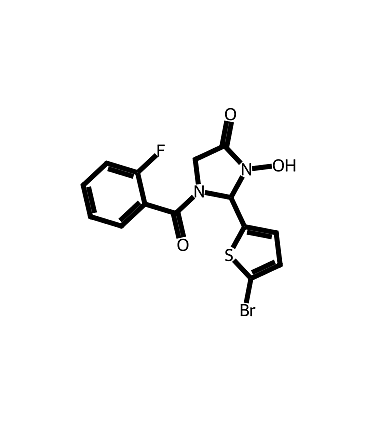 O=C1CN(C(=O)c2ccccc2F)C(c2ccc(Br)s2)N1O